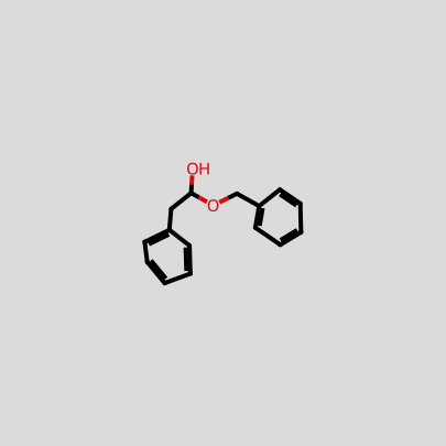 OC(Cc1ccccc1)OCc1ccccc1